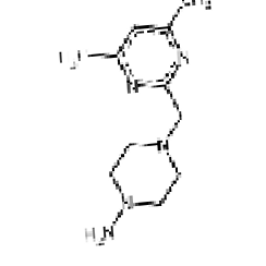 Cc1cc(C)nc(CN2CCN(N)CC2)n1